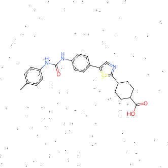 Cc1ccc(NC(=O)Nc2ccc(-c3cnc(C4CCC(C(=O)O)CC4)s3)cc2)cc1